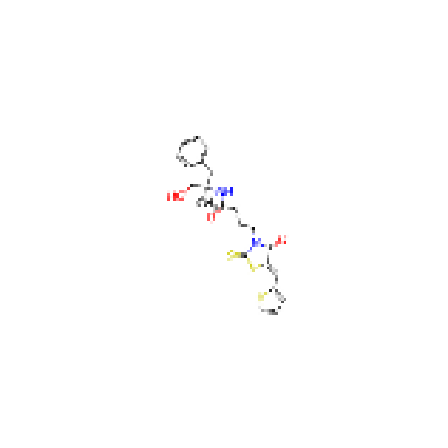 C[C@](CO)(Cc1ccccc1)NC(=O)CCCN1C(=O)/C(=C/c2cccs2)SC1=S